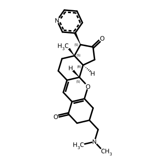 CN(C)CC1CC(=O)C2=C(C1)O[C@@H]1C(=C2)CC[C@]2(C)[C@@H](c3cccnc3)C(=O)C[C@@H]12